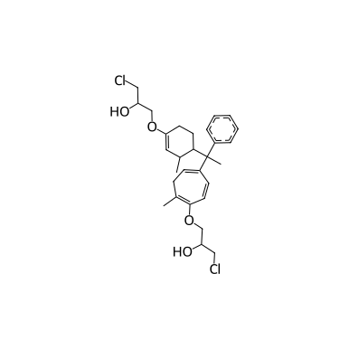 CC1=C(OCC(O)CCl)C=CC(C(C)(c2ccccc2)C2CCC(OCC(O)CCl)=CC2C)=CC1